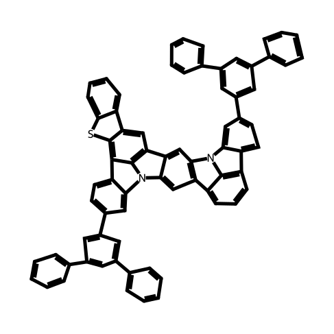 c1ccc(-c2cc(-c3ccccc3)cc(-c3ccc4c5cccc6c7cc8c(cc7n(c4c3)c56)c3cc4c5ccccc5sc4c4c5ccc(-c6cc(-c7ccccc7)cc(-c7ccccc7)c6)cc5n8c34)c2)cc1